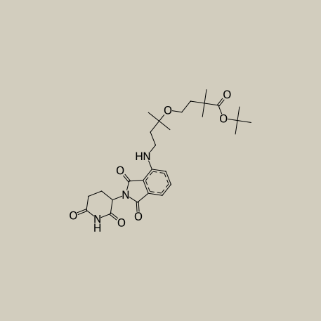 CC(C)(C)OC(=O)C(C)(C)CCOC(C)(C)CCNc1cccc2c1C(=O)N(C1CCC(=O)NC1=O)C2=O